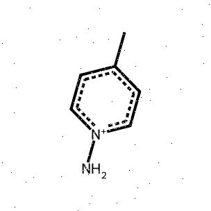 Cc1cc[n+](N)cc1